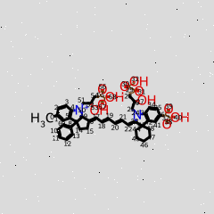 Cc1ccc2c(c1)C1(c3ccccc3)CC\C(=C/C=C/C=C/C=C3\N(CC(O)CS(=O)(=O)O)c4ccc(S(=O)(=O)O)cc4C34CCCCC4)C1=[N+]2CC(O)CS(=O)(=O)O